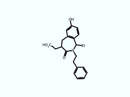 CCC1c2ccc(O)cc2CC(CC(=O)O)C(=O)N1CCc1ccccc1